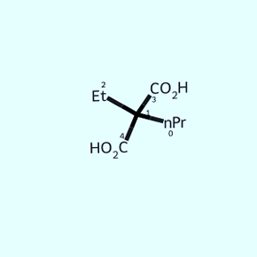 CCCC(CC)(C(=O)O)C(=O)O